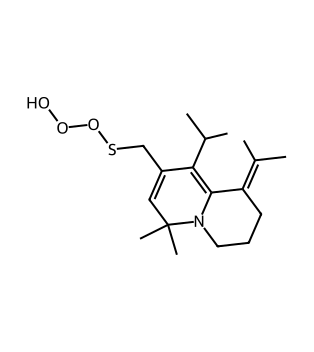 CC(C)=C1CCCN2C1=C(C(C)C)C(CSOOO)=CC2(C)C